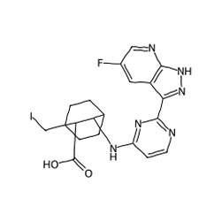 O=C(O)C1C(Nc2ccnc(-c3n[nH]c4ncc(F)cc34)n2)C2CCC1(CI)CC2